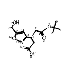 CC(C)(C)OC(=O)C[C@@H](CC(=O)O)c1cc(CO)on1